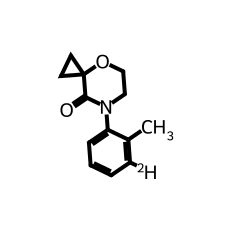 [2H]c1cccc(N2CCOC3(CC3)C2=O)c1C